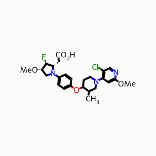 COc1cc(N2CCC(Oc3ccc(N4C[C@H](OC)[C@@H](F)[C@@H]4CC(=O)O)cc3)C(C)C2)c(Cl)cn1